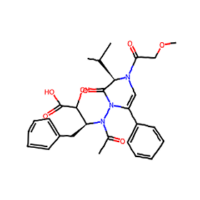 COCC(=O)N1C=C(c2ccccc2)N(N(C(C)=O)[C@@H](Cc2ccccc2)C(O)C(=O)O)C(=O)[C@H]1C(C)C